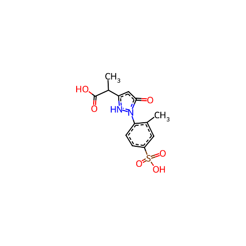 Cc1cc(S(=O)(=O)O)ccc1-n1[nH]c(C(C)C(=O)O)cc1=O